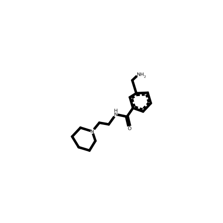 NCc1cccc(C(=O)NCCN2CCCCC2)c1